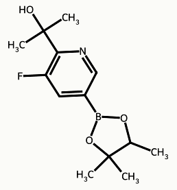 CC1OB(c2cnc(C(C)(C)O)c(F)c2)OC1(C)C